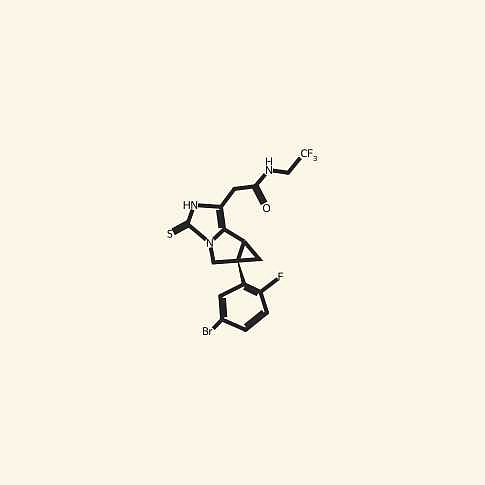 O=C(Cc1[nH]c(=S)n2c1C1C[C@]1(c1cc(Br)ccc1F)C2)NCC(F)(F)F